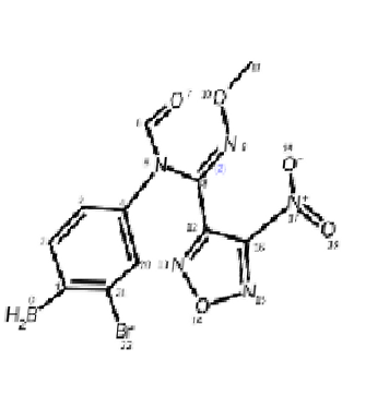 Bc1ccc(N(C=O)/C(=N\OC)c2nonc2[N+](=O)[O-])cc1Br